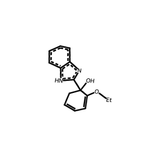 CCOC1=CC=CCC1(O)c1nc2ccccc2[nH]1